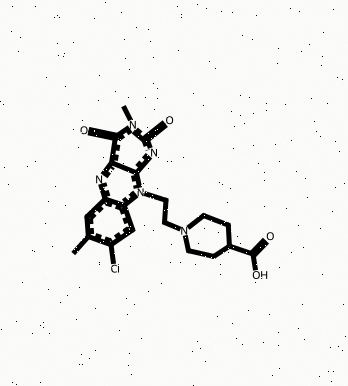 Cc1cc2nc3c(=O)n(C)c(=O)nc-3n(CCN3CCC(C(=O)O)CC3)c2cc1Cl